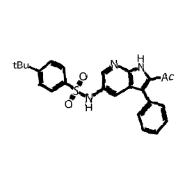 CC(=O)c1[nH]c2ncc(NS(=O)(=O)c3ccc(C(C)(C)C)cc3)cc2c1-c1ccccc1